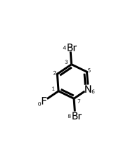 Fc1cc(Br)cnc1Br